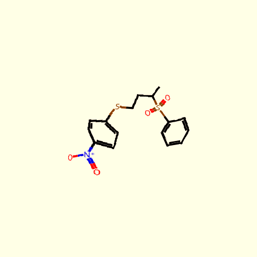 CC(CCSc1ccc([N+](=O)[O-])cc1)S(=O)(=O)c1ccccc1